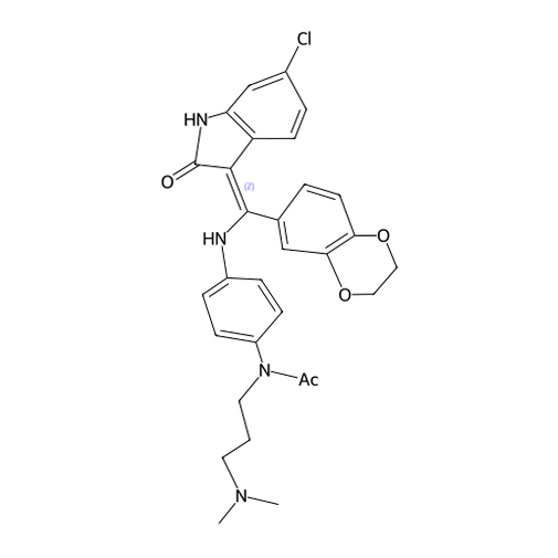 CC(=O)N(CCCN(C)C)c1ccc(N/C(=C2\C(=O)Nc3cc(Cl)ccc32)c2ccc3c(c2)OCCO3)cc1